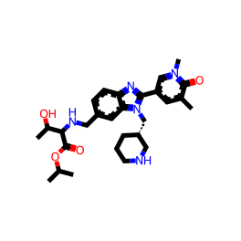 Cc1cc(-c2nc3ccc(CNC(C(=O)OC(C)C)C(C)O)cc3n2C[C@H]2CCCNC2)cn(C)c1=O